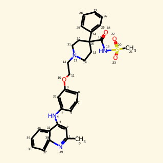 Cc1cc(Nc2cccc(OCCN3CCC(C(=O)NS(C)(=O)=O)(c4ccccc4)CC3)c2)c2ccccc2n1